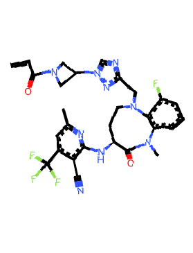 C=CC(=O)N1CC(n2cnc(CN3CC[C@H](Nc4nc(C)cc(C(F)(F)F)c4C#N)C(=O)N(C)c4cccc(F)c43)n2)C1